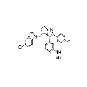 CCCNc1nccc(-c2c(-c3ccc(F)cc3)nc3n2C(Cn2ccc4cc(Cl)ccc42)CC3)n1